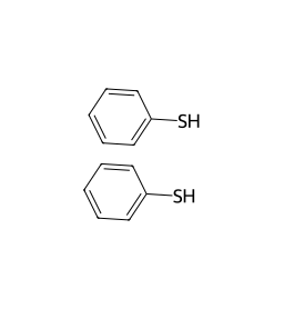 Sc1ccccc1.Sc1ccccc1